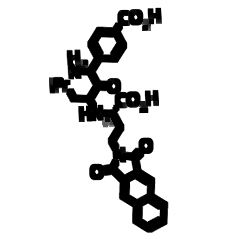 CC(C)CC(N[C@@H](CCN1C(=O)c2cc3ccccc3cc2C1=O)C(=O)O)C(=O)C(N)c1ccc(C(=O)O)cc1